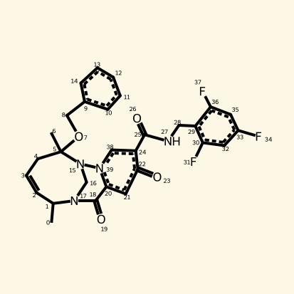 CC1C=CCC(C)(OCc2ccccc2)N2CN1C(=O)c1cc(=O)c(C(=O)NCc3c(F)cc(F)cc3F)cn12